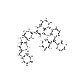 c1ccc(-c2c3ccccc3c(-c3cc(-c4ccc5sc6cc7sc8ccccc8c7cc6c5c4)cc4ccccc34)c3ccccc23)cc1